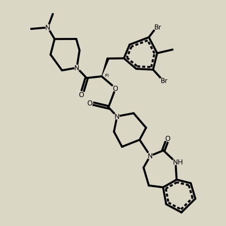 Cc1c(Br)cc(C[C@@H](OC(=O)N2CCC(N3CCc4ccccc4NC3=O)CC2)C(=O)N2CCC(N(C)C)CC2)cc1Br